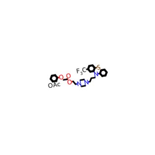 CC(=O)Oc1ccccc1OCC(=O)OCCN1CCN(CCCN2c3ccccc3Sc3ccc(C(F)(F)F)cc32)CC1